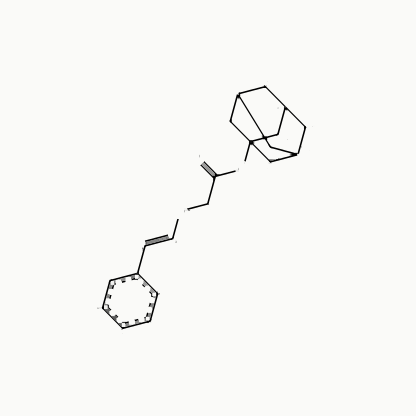 O=C(COC=Cc1ccccc1)OC12CC3CC(CC(C3)C1)C2